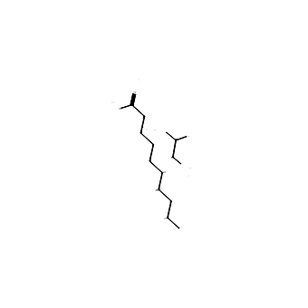 CCCCCCCCC(O)CO.CCCCCCCCCC(=O)O